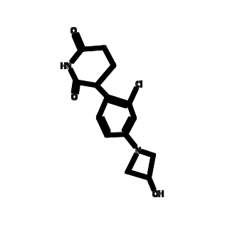 O=C1CCC(c2ccc(N3CC(O)C3)cc2Cl)C(=O)N1